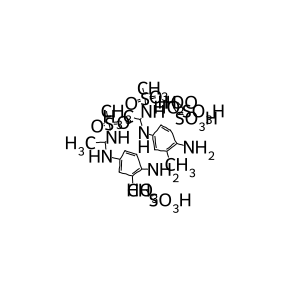 Cc1cc(NC(C)NS(C)(=O)=O)ccc1N.Cc1cc(NC(C)NS(C)(=O)=O)ccc1N.O.O=S(=O)(O)O.O=S(=O)(O)O.O=S(=O)(O)O